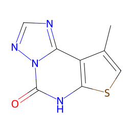 Cc1csc2[nH]c(=O)n3ncnc3c12